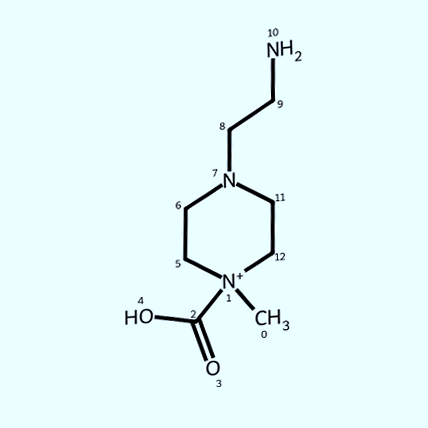 C[N+]1(C(=O)O)CCN(CCN)CC1